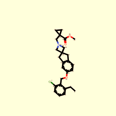 CCc1cccc(Cl)c1COc1ccc2c(c1)CC1(C2)CN(CC2(C(=O)OC)CC2)C1